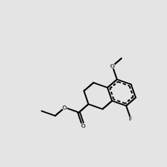 CCOC(=O)C1CCc2c(OC)ccc(F)c2C1